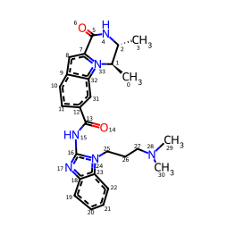 C[C@@H]1[C@@H](C)NC(=O)c2cc3ccc(C(=O)Nc4nc5ccccc5n4CCCN(C)C)cc3n21